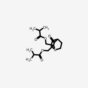 CC(C)C(=O)OCC1(COC(=O)C(C)C)C(=O)C2CCN1CC2